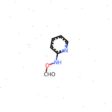 O=CONc1ccccn1